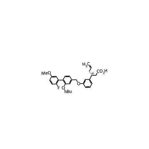 C=CC[C@H](CC(=O)O)c1cccc(OCc2ccc(-c3cc(OC)ccc3F)c(OCCCC)c2)c1